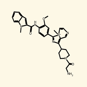 COc1cc(C2=NC(C3CCN(C(=O)CN)CC3)=C3C=NC=C[N+]23C)ccc1NC(=O)c1cc2ccccc2n1C